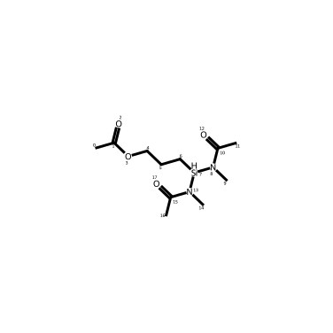 CC(=O)OCCC[SiH](N(C)C(C)=O)N(C)C(C)=O